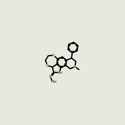 CCCCN=C1Nc2c3c(cc4c2C1OCCO4)C(c1ccccc1)CN(C)C3